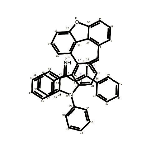 N=C(/N=C(\N=C\c1cccc2oc3cccc(-c4cccc5c4c4ccccc4n5-c4ccccc4)c3c12)c1ccccc1)c1ccccc1